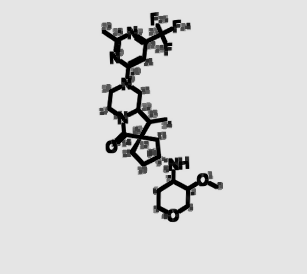 COC1COCCC1N[C@@H]1CC[C@@]2(C1)C(=O)N1CCN(c3cc(C(F)(F)F)nc(C)n3)CC1C2C